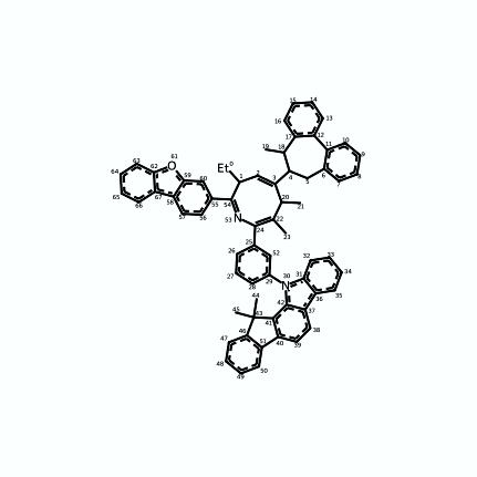 CCC1/C=C(/C2Cc3ccccc3-c3ccccc3C2C)C(C)/C(C)=C(c2cccc(-n3c4ccccc4c4ccc5c(c43)C(C)(C)c3ccccc3-5)c2)\N=C/1c1ccc2c(c1)oc1ccccc12